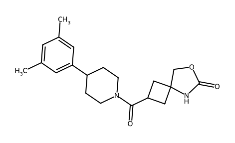 Cc1cc(C)cc(C2CCN(C(=O)C3CC4(COC(=O)N4)C3)CC2)c1